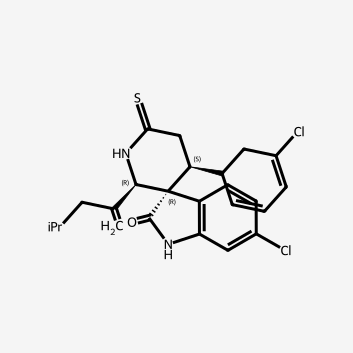 C=C(CC(C)C)[C@H]1NC(=S)C[C@@H](C2C=CC=C(Cl)C2)[C@]12C(=O)Nc1cc(Cl)ccc12